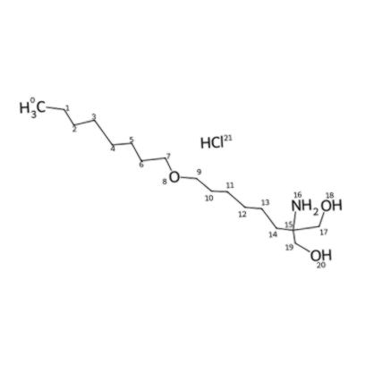 CCCCCCCCOCCCCCCC(N)(CO)CO.Cl